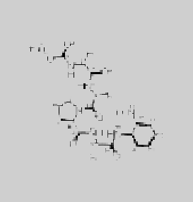 C[C@H](NC(=O)OC(C)(C)C)C(=O)N[C@@H](C)C(=O)N1CCC[C@H]1C(=O)N[C@@H](C)C(=O)Nc1ccccc1[N+](=O)[O-]